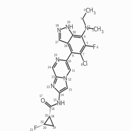 CCN(C)c1c(F)c(Cl)c(-c2cn3cc(NC(=O)[C@@H]4C[C@@H]4F)nc3cn2)c2cn[nH]c12